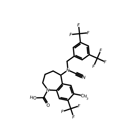 Cc1cc2c(cc1C(F)(F)F)N(C(=O)O)CCCC2N(C#N)Cc1cc(C(F)(F)F)cc(C(F)(F)F)c1